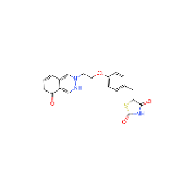 O=C1NC(=O)C(Cc2ccc(OCCN3C=C4C=CCC(=O)C4=CN3)cc2)S1